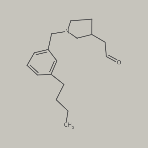 CCCCc1cccc(CN2CCC(CC=O)C2)c1